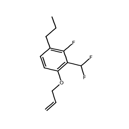 C=CCOc1ccc(CCC)c(F)c1C(F)F